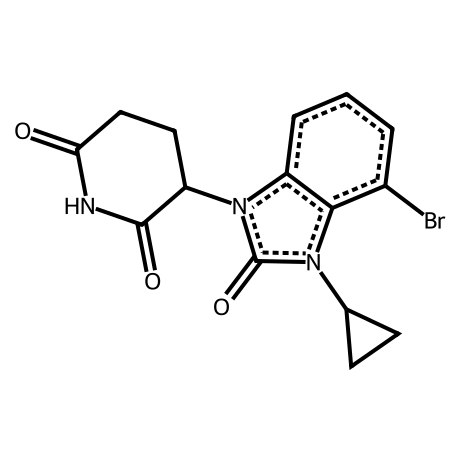 O=C1CCC(n2c(=O)n(C3CC3)c3c(Br)cccc32)C(=O)N1